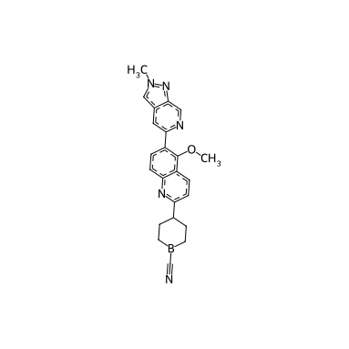 COc1c(-c2cc3cn(C)nc3cn2)ccc2nc(C3CCB(C#N)CC3)ccc12